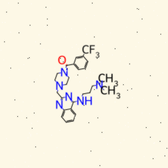 CN(C)CCCNc1nc(CN2CCN(C(=O)c3cccc(C(F)(F)F)c3)CC2)nc2ccccc12